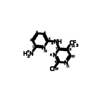 Nc1cccc(Nc2nc(Cl)ncc2C(F)(F)F)n1